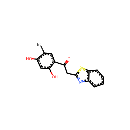 CCc1cc(C(=O)Cc2nc3ccccc3s2)c(O)cc1O